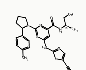 Cc1ccc(C2CCCN2c2nc(Nc3ncc(C#N)s3)cc(C(=O)N[C@H](C)CO)n2)cc1